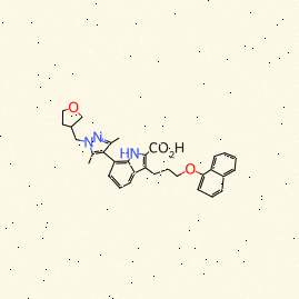 Cc1nn(CC2CCOC2)c(C)c1-c1cccc2c(CCCOc3cccc4ccccc34)c(C(=O)O)[nH]c12